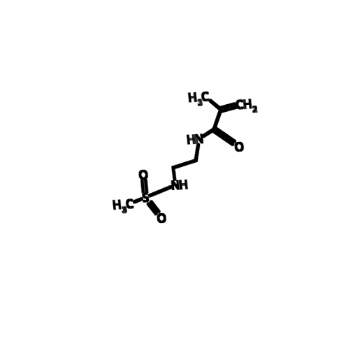 C=C(C)C(=O)NCCNS(C)(=O)=O